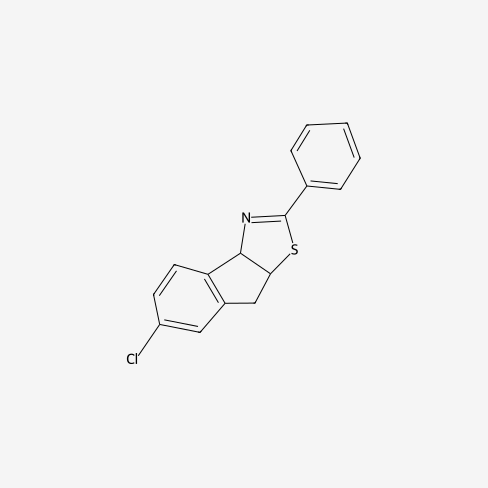 Clc1ccc2c(c1)CC1SC(c3ccccc3)=NC21